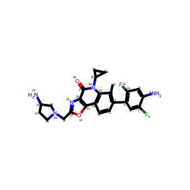 Cc1c(-c2cc(F)c(N)cc2F)ccc2c3oc(CN4CCC(N)C4)nc3c(=O)n(C3CC3)c12